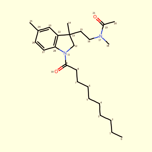 CCCCCCCCCC(=O)N1CC(C)(CCN(C)C(C)=O)c2cc(C)ccc21